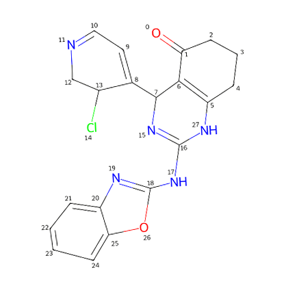 O=C1CCCC2=C1C(C1=CC=NCC1Cl)N=C(Nc1nc3ccccc3o1)N2